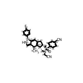 C[C@H]1C2=CNN(c3ccc(F)cc3)C2=CC2=C1[C@@H](CN(CC#N)S(=O)(=O)c1ccc(C#N)cc1)CC2